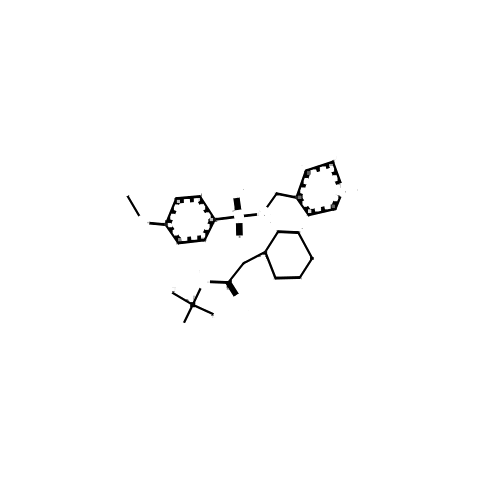 COc1ccc(S(=O)(=O)N(Cc2ccncc2)[C@@H]2CCCCC2CC(=O)OC(C)(C)C)cc1